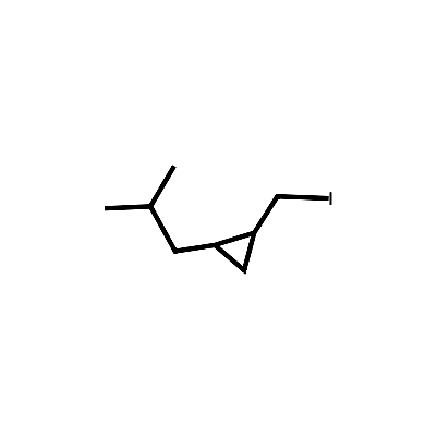 CC(C)CC1CC1CI